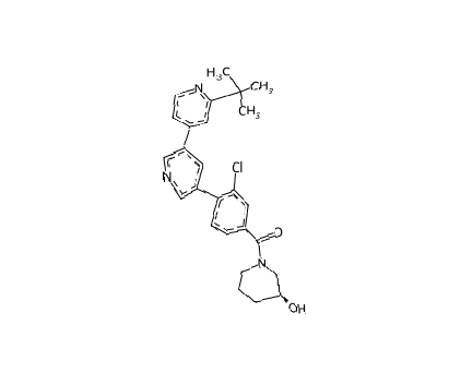 CC(C)(C)c1cc(-c2cncc(-c3ccc(C(=O)N4CCC[C@H](O)C4)cc3Cl)c2)ccn1